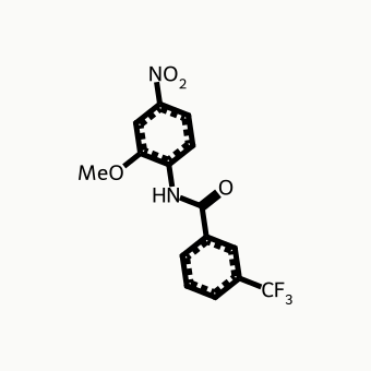 COc1cc([N+](=O)[O-])ccc1NC(=O)c1cccc(C(F)(F)F)c1